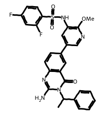 COc1ncc(-c2ccc3nc(N)n(C(C)c4ccccc4)c(=O)c3c2)cc1NS(=O)(=O)c1ccc(F)cc1F